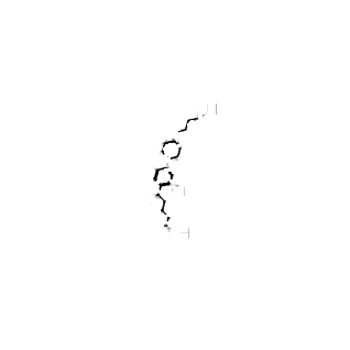 CC[CH]CCC(C)c1ccc([C@H]2CC[C@H](CCCCC)CC2)cc1C